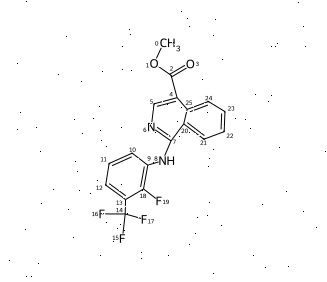 COC(=O)c1cnc(Nc2cccc(C(F)(F)F)c2F)c2ccccc12